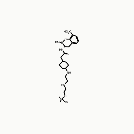 CC(C)(C)[Si](C)(C)OCCNCCNC1CCC(CC(=O)N[C@H]2Cc3cccc(C(=O)O)c3OB2O)CC1